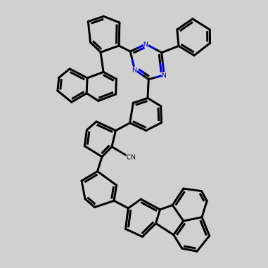 N#Cc1c(-c2cccc(-c3ccc4c(c3)-c3cccc5cccc-4c35)c2)cccc1-c1cccc(-c2nc(-c3ccccc3)nc(-c3ccccc3-c3cccc4ccccc34)n2)c1